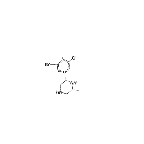 C[C@@H]1CNC[C@H](c2cc(Cl)nc(Br)c2)N1